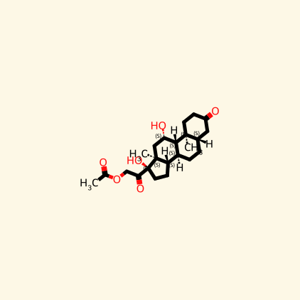 CC(=O)OCC(=O)[C@@]1(O)CC[C@H]2[C@@H]3CC[C@H]4CC(=O)CC[C@]4(C)[C@H]3[C@@H](O)C[C@@]21C